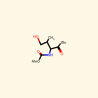 COC(=O)NC(C(=O)C(C)(C)C)C(C)CO